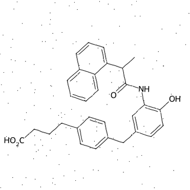 CC(C(=O)Nc1cc(Cc2ccc(CCCC(=O)O)cc2)ccc1O)c1cccc2ccccc12